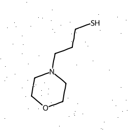 SCCCN1CCOCC1